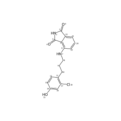 O=C1NC(=O)c2c(NCCCc3ccc(O)cc3Cl)cccc21